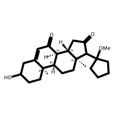 COC1(C2C(=O)C[C@H]3[C@@H]4C(=O)C=C5CC(O)CC[C@]5(C)[C@@H]4CC[C@]23C)CCCC1